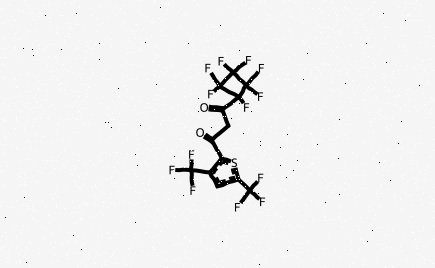 O=C(CC(=O)C1(F)C(F)(F)C(F)(F)C1(F)F)c1sc(C(F)(F)F)cc1C(F)(F)F